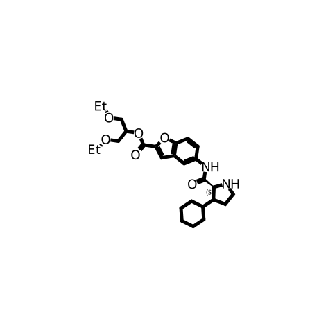 CCOCC(COCC)OC(=O)c1cc2cc(NC(=O)[C@H]3NCCC3C3CCCCC3)ccc2o1